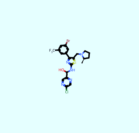 C[C@@H]1CCCN1Cc1sc(NC(O)c2cnc(Cl)cn2)nc1-c1cc(Br)cc(C(F)(F)F)c1